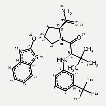 CC(C)(C)[C@H](Nc1cccc(C(F)(F)F)c1)C(=O)N1C[C@H](Oc2nc3ccccc3s2)C[C@H]1C(N)=O